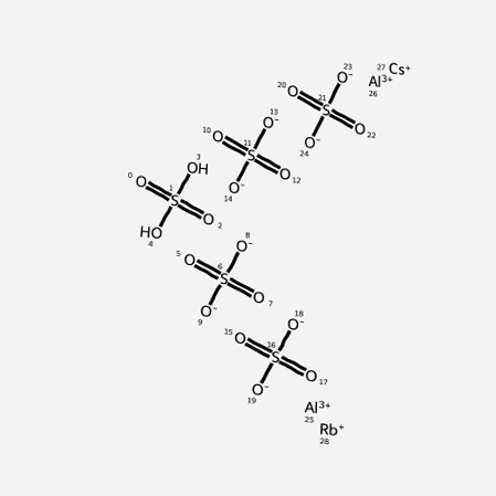 O=S(=O)(O)O.O=S(=O)([O-])[O-].O=S(=O)([O-])[O-].O=S(=O)([O-])[O-].O=S(=O)([O-])[O-].[Al+3].[Al+3].[Cs+].[Rb+]